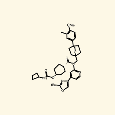 COc1ccc(C23CCC(CN(c4cc(-c5coc(C(C)(C)C)n5)ccn4)C(=O)[C@H]4CC[C@H](OC(=O)NC5CCC5)CC4)(CC2)CC3)cc1C